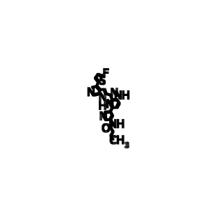 CCCC(=O)Nc1cncc(-c2ccc3[nH]nc(-c4cc5c(-c6ccc(F)s6)cncc5[nH]4)c3n2)c1